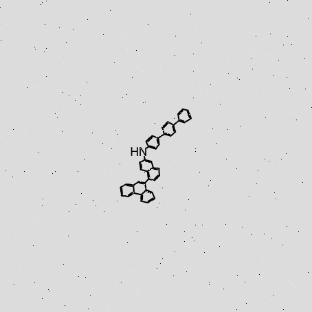 c1ccc(-c2ccc(-c3ccc(Nc4ccc5c(-c6cc7ccccc7c7ccccc67)cccc5c4)cc3)cc2)cc1